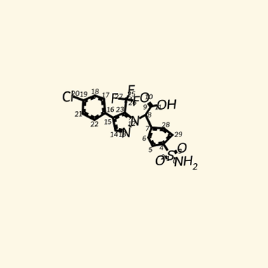 NS(=O)(=O)c1ccc(C(C(=O)O)n2ncc(-c3ccc(Cl)cc3)c2C(F)(F)F)cc1